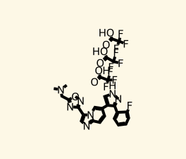 CN(C)Cc1nc(-c2cnc3ccc(-c4c[nH]nc4-c4ccccc4F)cn23)no1.O=C(O)C(F)(F)F.O=C(O)C(F)(F)F.O=C(O)C(F)(F)F